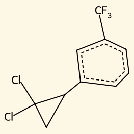 FC(F)(F)c1cccc(C2CC2(Cl)Cl)c1